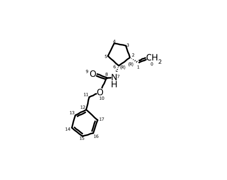 C=C[C@H]1CCC[C@H]1NC(=O)OCc1ccccc1